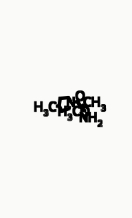 CC1CCN(C(=O)C(C)(C)ON)CC1